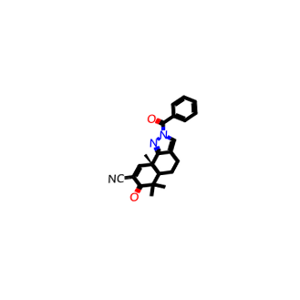 CC1(C)C(=O)C(C#N)=C[C@]2(C)c3nn(C(=O)c4ccccc4)cc3CCC12